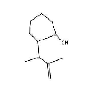 C=C(C)C(C)C1CCCCC1C#N